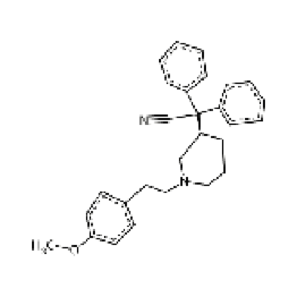 COc1ccc(CCN2CCC[C@H](C(C#N)(c3ccccc3)c3ccccc3)C2)cc1